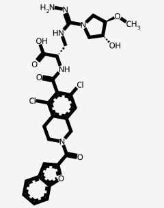 CO[C@@H]1CN(/C(=N/N)NC[C@H](NC(=O)c2c(Cl)cc3c(c2Cl)CCN(C(=O)c2cc4ccccc4o2)C3)C(=O)O)C[C@H]1O